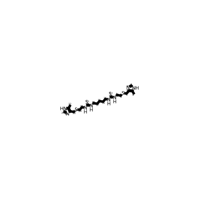 Cc1[nH]cnc1CSCCNC(=S)NCCCCCNC(=S)NCCSCc1nc[nH]c1C